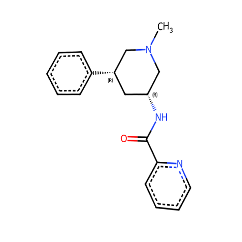 CN1C[C@H](NC(=O)c2ccccn2)C[C@H](c2ccccc2)C1